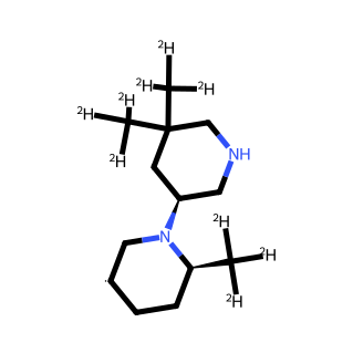 [2H]C([2H])([2H])[C@H]1CC[CH]CN1[C@@H]1CNCC(C([2H])([2H])[2H])(C([2H])([2H])[2H])C1